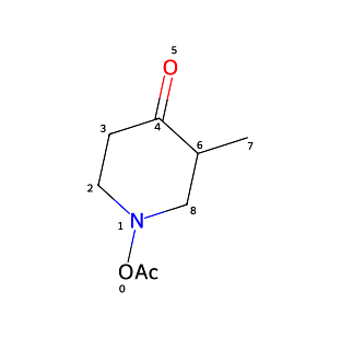 CC(=O)ON1CCC(=O)C(C)C1